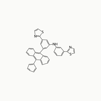 c1ccc(-c2c3ccccc3c(-c3cc(Nc4cccc(-c5nccs5)c4)cc(-c4nccs4)c3)c3ccccc23)cc1